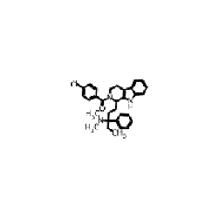 CCC(CCC1c2[nH]c3ccccc3c2CCN1C(=O)c1ccc(Cl)cc1)(c1ccccc1)N(C)C